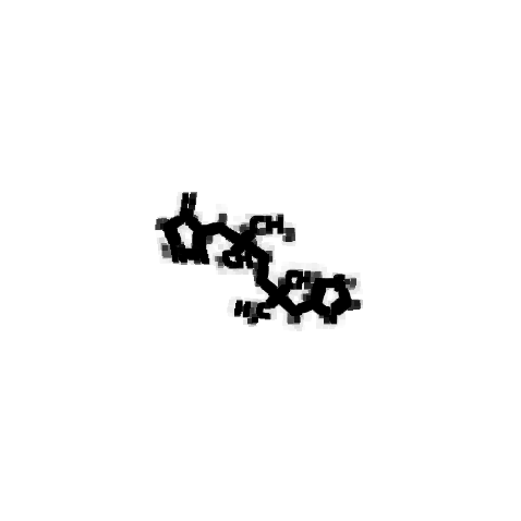 CC(C)(CCC(C)(C)Cc1nnc[nH]1)Cc1cscn1